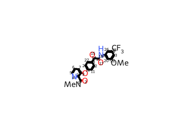 CNC(=O)c1ncccc1Oc1ccc(C(=O)C(=O)Nc2cc(OC)cc(C(F)(F)F)c2)cc1